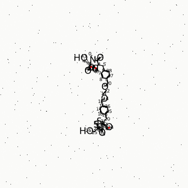 CN1C(=O)[C@]2(Cc3ccc(COCCOCc4ccc(C[C@@]56SS[C@@](CO)(C(=O)N5C)N(C)C6=O)cc4)cc3)SS[C@@]1(CO)C(=O)N2C